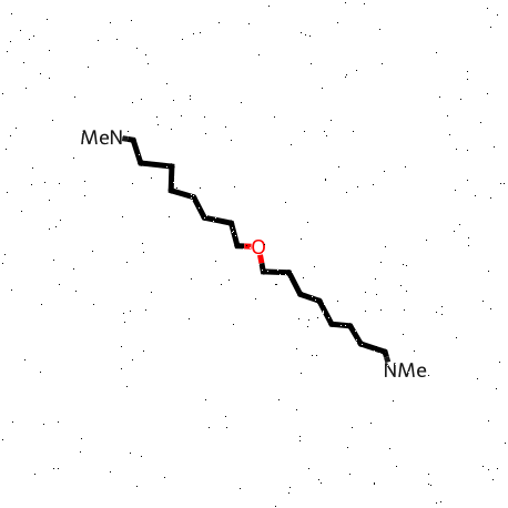 CNCCCCCCCCOCCCCCCCCNC